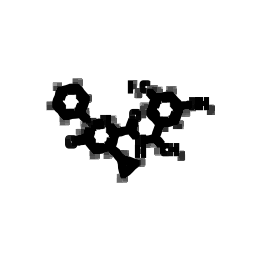 CC(NC(=O)c1nn(-c2ccccc2)c(=O)cc1C1CC1)c1cc(N)cc(C(F)(F)F)c1